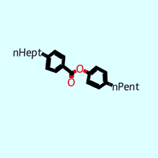 CCCCCCCc1ccc(C(=O)Oc2ccc(CCCCC)cc2)cc1